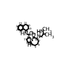 CN[C@@H](C)CN[C@H]1CCCC[C@@H]2CC[C@@H](C(=O)N[C@@H]3CCCc4ccccc43)N2C1=O